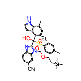 CCc1cc(C)c2[nH]ccc2c1C(O)(c1nc2ccc(C#N)cc2n1COCC[Si](C)(C)C)S(=O)(=O)c1ccc(C)cc1